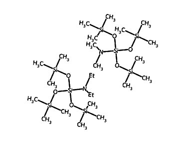 CCN(CC)[Si](O[Si](C)(C)C)(O[Si](C)(C)C)O[Si](C)(C)C.CN(C)[Si](O[Si](C)(C)C)(O[Si](C)(C)C)O[Si](C)(C)C